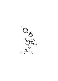 C=C(C)OC(=O)N1CC[C@H]2Cc3c(cnn3-c3ccc(F)cc3)C[C@]2(C(=O)OC)C1